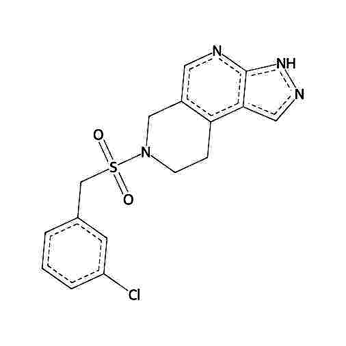 O=S(=O)(Cc1cccc(Cl)c1)N1CCc2c(cnc3[nH]ncc23)C1